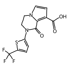 O=C(O)c1ccn2c1C(=O)N(c1ccc(C(F)(F)F)s1)CC2